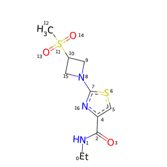 CCNC(=O)c1csc(N2CC(S(C)(=O)=O)C2)n1